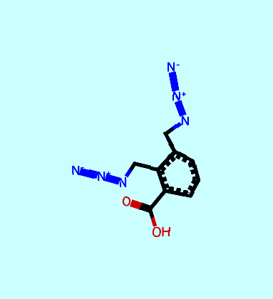 [N-]=[N+]=NCc1cccc(C(=O)O)c1CN=[N+]=[N-]